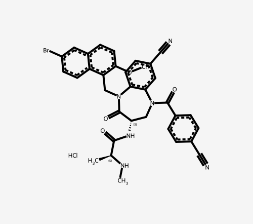 CN[C@@H](C)C(=O)N[C@H]1CN(C(=O)c2ccc(C#N)cc2)c2cc(C#N)ccc2N(Cc2c(OC)ccc3cc(Br)ccc23)C1=O.Cl